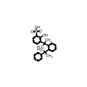 CC(C)(c1ccccc1)c1ccccc1C(C)(C)c1cccc(S(=O)(=O)O)c1O